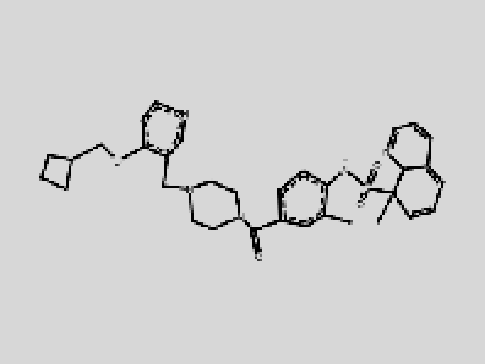 Cc1cc(C(=O)N2CCN(Cc3cnccc3OCC3CCC3)CC2)ccc1NS(=O)(=O)C1(C)C=CC=C2C=CC=NC21